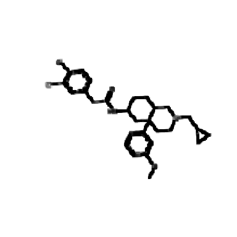 COc1cccc(C23CCN(CC4CC4)CC2CC[C@H](NC(=O)Cc2ccc(Cl)c(Cl)c2)C3)c1